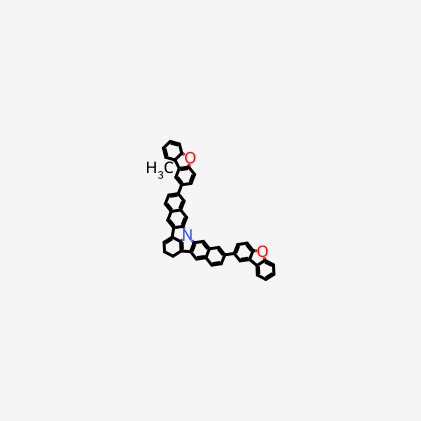 CC12C=CC=CC1Oc1ccc(-c3ccc4cc5c6c7c(c8cc9ccc(-c%10ccc%11oc%12ccccc%12c%11c%10)cc9cc8n7c5cc4c3)CCC=6)cc12